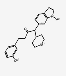 CC(=O)N1CCc2ccc(C(C(=O)CCc3cccc(C#N)c3)C3CCNCC3)cc21